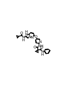 O=C(NC1=CN2N=C(Oc3ccc(NC(=O)C4(C(=O)Nc5ccccc5)CC4)nc3)C=CC2N1)C1CC1